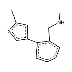 CNCc1ccccc1-c1csc(C)c1